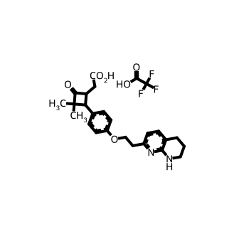 CC1(C)C(=O)C(CC(=O)O)C1c1ccc(OCCc2ccc3c(n2)NCCC3)cc1.O=C(O)C(F)(F)F